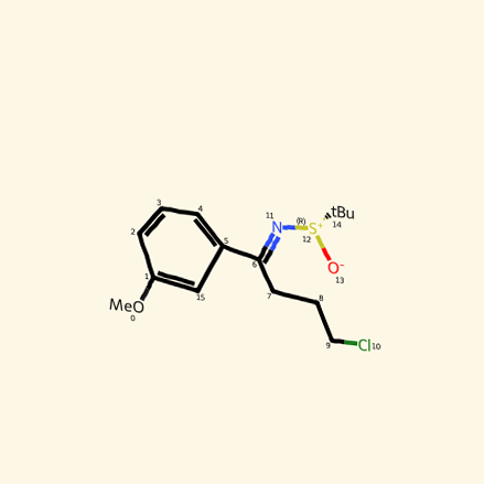 COc1cccc(C(CCCCl)=N[S@@+]([O-])C(C)(C)C)c1